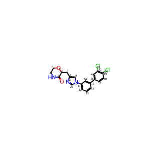 O=C1NCCOC1Cc1cn(-c2cccc(-c3ccc(Cl)c(Cl)c3)c2)cn1